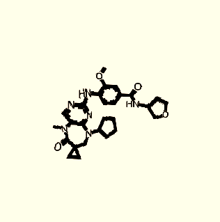 COc1cc(C(=O)NC2CCOC2)ccc1Nc1ncc2c(n1)N(C1CCCC1)CC1(CC1)C(=O)N2C